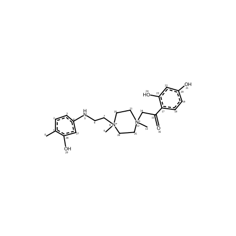 Cc1ccc(NCC[N+]2(C)CC[N+](C)(CC(=O)c3ccc(O)cc3O)CC2)cc1O